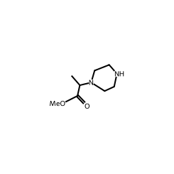 COC(=O)C(C)N1CCNCC1